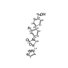 O=C1O[C@@H](Cn2ccnn2)CN1c1ccc(-c2ccc(CO)cc2)c(F)c1